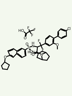 COc1cc(C(F)(F)C(NS(=O)(=O)c2ccc3cc(OC4CCCC4)ccc3c2)C(=O)N2C3CCC2CC(N)C3)ccc1-c1ccc(Cl)cc1.O=C(O)C(F)(F)F